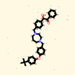 CC(C)(C)c1ccc(Oc2ccc(CN3CCCN(Cc4ccc(C(O)C(=O)c5ccccc5)cc4)CC3)cc2)cc1